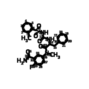 Cc1ccccc1S(=O)(=O)NC(=O)NC(Cc1ccccc1)C(=O)N(C)c1ccc(F)c(C(N)=O)c1